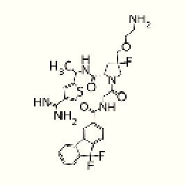 C[C@@H](NC(=O)[C@@H]1C[C@](F)(COCCN)CN1C(=O)CNC(=O)c1ccc2c(c1)-c1ccccc1C2(F)F)c1cc(C(=N)N)cs1